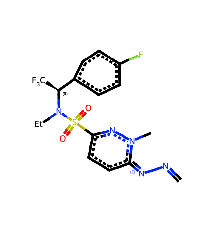 C=N/N=c1/ccc(S(=O)(=O)N(CC)[C@H](c2ccc(F)cc2)C(F)(F)F)nn1C